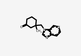 CC1(Cn2cnc3ccncc32)CCCC(=O)C1